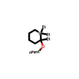 CCCCCOC1(CC)CCCC[Si]1(CC)CC